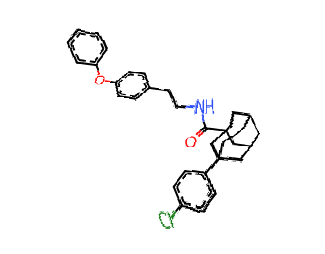 O=C(NCCc1ccc(Oc2ccccc2)cc1)C12CC3CC(C1)CC(c1ccc(Cl)cc1)(C3)C2